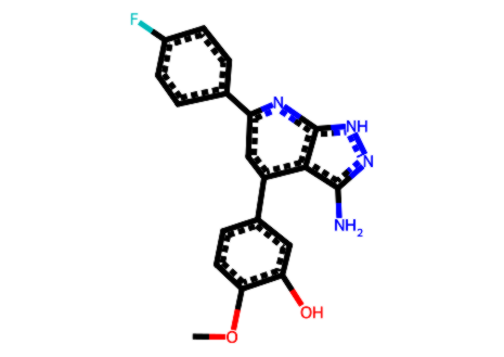 COc1ccc(-c2cc(-c3ccc(F)cc3)nc3[nH]nc(N)c23)cc1O